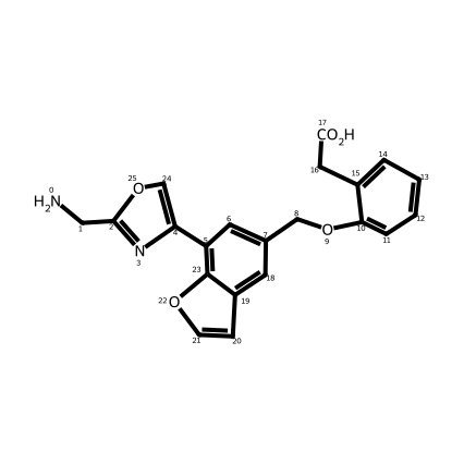 NCc1nc(-c2cc(COc3ccccc3CC(=O)O)cc3ccoc23)co1